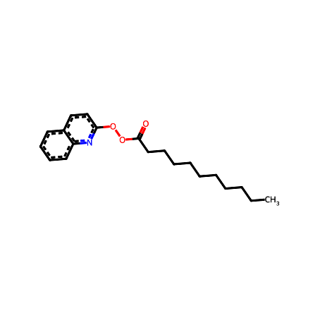 CCCCCCCCCCC(=O)OOc1ccc2ccccc2n1